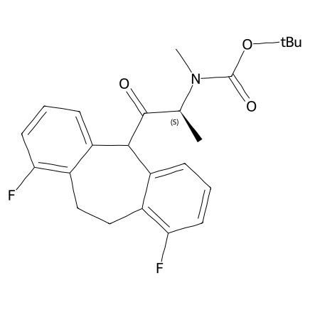 C[C@@H](C(=O)C1c2cccc(F)c2CCc2c(F)cccc21)N(C)C(=O)OC(C)(C)C